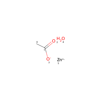 CC(=O)[O-].O.[Zn+]